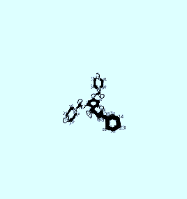 O=C(Oc1cc(OC(=O)N2CCOCC2)c2c(=O)cc(-c3ccccc3)oc2c1)N1CCOCC1